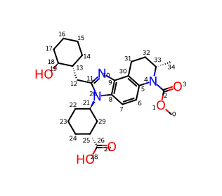 COC(=O)N1c2ccc3c(nc(C[C@H]4CCCC[C@@H]4O)n3[C@@H]3CCC[C@@H](C(=O)O)C3)c2CC[C@@H]1C